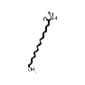 [2H]NC(=O)CCCCCCCCCCCCCCC